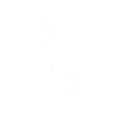 O=C(CC1CCN(c2nc3cccnc3o2)CC1)Nc1ccc2cc1CCC1C=CC=C(C1)Nc1ncc(Cl)c(n1)N2